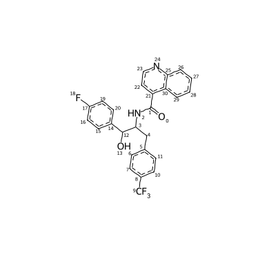 O=C(NC(Cc1ccc(C(F)(F)F)cc1)C(O)c1ccc(F)cc1)c1ccnc2ccccc12